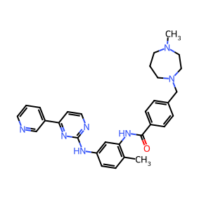 Cc1ccc(Nc2nccc(-c3cccnc3)n2)cc1NC(=O)c1ccc(CN2CCCN(C)CC2)cc1